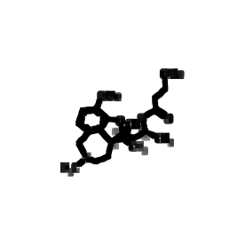 C=C(C)[C@@]12CCN(C)Cc3ccc(OC)c(c31)O[C@H]2C[C@H](C)OC(=O)CCOC